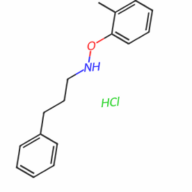 Cc1ccccc1ONCCCc1ccccc1.Cl